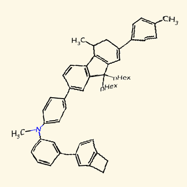 CCCCCCC1(CCCCCC)C2=C(c3ccc(-c4ccc(N(C)c5cccc(-c6ccc7c(c6)CC7)c5)cc4)cc31)C(C)CC(c1ccc(C)cc1)=C2